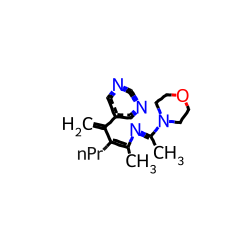 C=C(/C(CCC)=C(C)\N=C(/C)N1CCOCC1)c1cncnc1